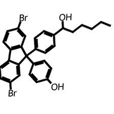 CCCCCC(O)c1ccc(C2(c3ccc(O)cc3)c3cc(Br)ccc3-c3ccc(Br)cc32)cc1